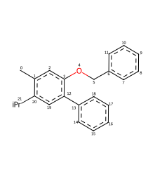 Cc1cc(OCc2ccccc2)c(-c2ccccc2)cc1C(C)C